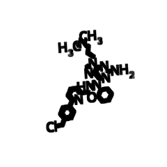 CN(C)CCCn1cnc2c(N(NC(=O)c3cccc(-c4ccc(CCl)cc4)n3)C3CCCCC3)nc(N)nc21